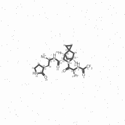 CC(C)[C@H](NC(=O)C(F)(F)F)C(=O)N1[C@H]2C[C@@H]([C@H]1C(=O)N[C@H](C#N)C[C@@H]1CCNC1=O)C1(CC1)C2